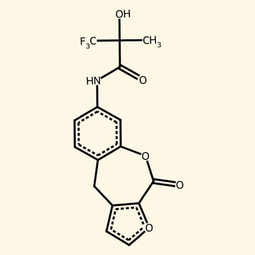 CC(O)(C(=O)Nc1ccc2c(c1)OC(=O)c1occc1C2)C(F)(F)F